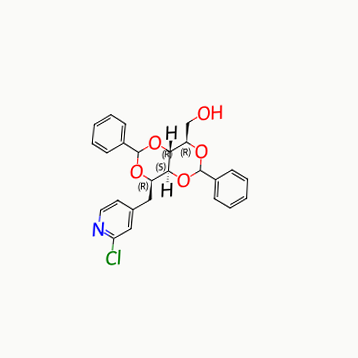 OC[C@H]1OC(c2ccccc2)O[C@@H]2[C@@H]1OC(c1ccccc1)O[C@@H]2Cc1ccnc(Cl)c1